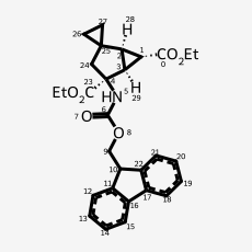 CCOC(=O)[C@H]1[C@H]2[C@@H]1[C@](NC(=O)OCC1c3ccccc3-c3ccccc31)(C(=O)OCC)CC21CC1